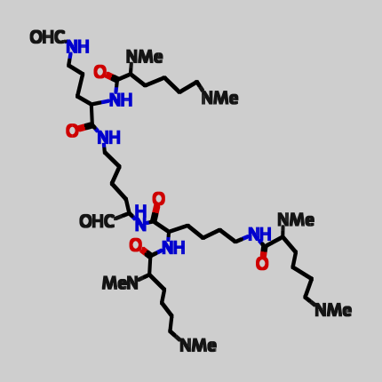 CNCCCCC(NC)C(=O)NCCCCC(NC(=O)C(CCCCNC)NC)C(=O)NC(C=O)CCCCNC(=O)C(CCCNC=O)NC(=O)C(CCCCNC)NC